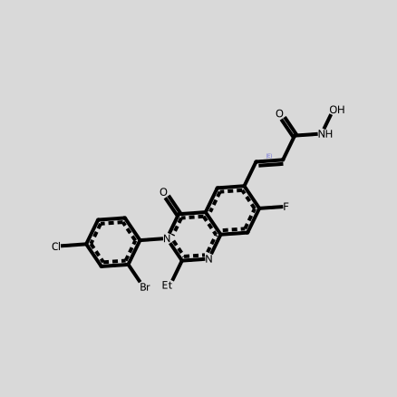 CCc1nc2cc(F)c(/C=C/C(=O)NO)cc2c(=O)n1-c1ccc(Cl)cc1Br